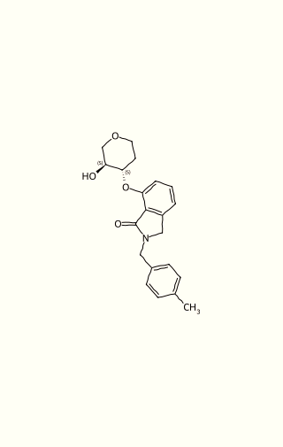 Cc1ccc(CN2Cc3cccc(O[C@H]4CCOC[C@@H]4O)c3C2=O)cc1